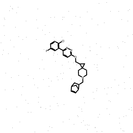 Fc1ccc(Cl)c(-c2ccc(OCC3CC34CCN(CC3CC5C=CC3C5)CC4)nn2)c1